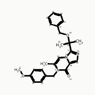 COc1ccc(Cn2c(C)cn3c(C(C)(C)OCc4ccccc4)ncc3c2=O)cc1